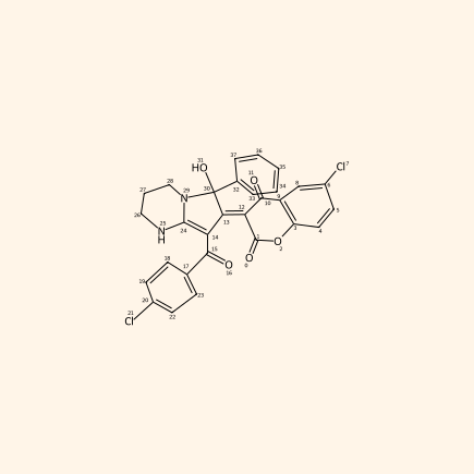 O=C1Oc2ccc(Cl)cc2C(=O)/C1=C1/C(C(=O)c2ccc(Cl)cc2)=C2NCCCN2C1(O)c1ccccc1